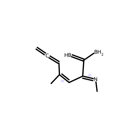 B=C(B)C(/C=C(/C)C=C=C)=N/C